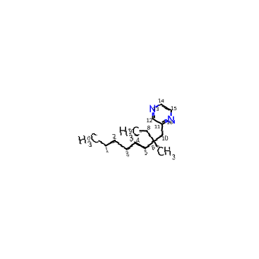 CCCCCCC(C)(CC)Cc1cnccn1